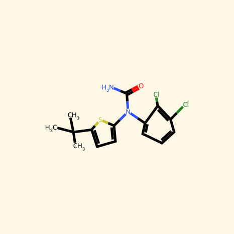 CC(C)(C)c1ccc(N(C(N)=O)c2cccc(Cl)c2Cl)s1